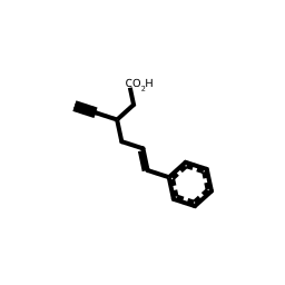 C#CC(CC=Cc1ccccc1)CC(=O)O